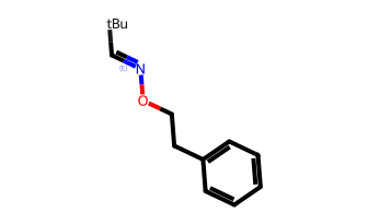 CC(C)(C)/C=N/OCCc1ccccc1